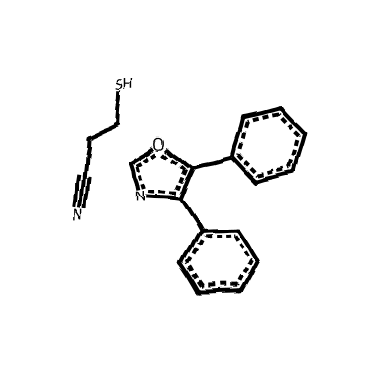 N#CCCS.c1ccc(-c2ncoc2-c2ccccc2)cc1